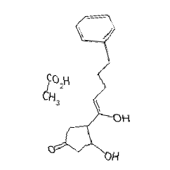 CC(=O)O.O=C1CC(O)C(C(O)=CCCCc2ccccc2)C1